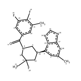 Cc1cc([C@@H]2CN(C(=O)c3cc(C)c(F)c(F)c3)CC(F)(P)C2)n2ncnc2n1